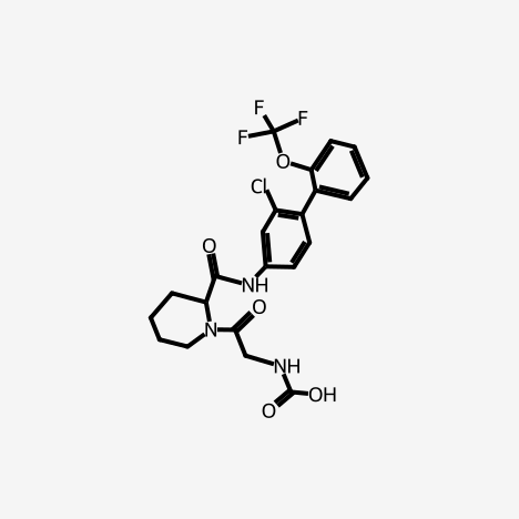 O=C(O)NCC(=O)N1CCCCC1C(=O)Nc1ccc(-c2ccccc2OC(F)(F)F)c(Cl)c1